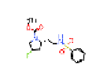 CC(C)(C)OC(=O)N1C[C@H](F)C[C@H]1CCNS(=O)(=O)c1ccccc1